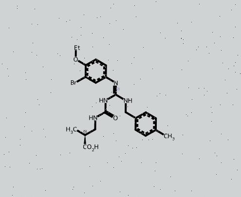 CCOc1ccc(/N=C(/NCc2ccc(C)cc2)NC(=O)NC[C@H](C)C(=O)O)cc1Br